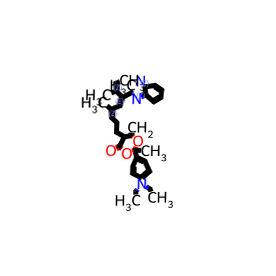 C=C1OC(C)(c2ccc(N(CC)CC)cc2)OC(=O)C1CC\C=C(C)/C=C(C/N=C1/C=CC=C/C1=N/C)\C(C)=C/C